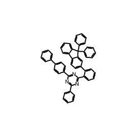 c1ccc(-c2ccc(-c3nc(-c4ccccc4)nc(-c4ccccc4-c4ccc5c(c4)C(c4ccccc4)(c4ccccc4)c4ccccc4-5)n3)cc2)cc1